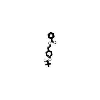 CC(C)(C)C(=O)ON1CCC(CCOC(=O)c2ccccc2)CC1